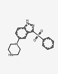 O=S(=O)(c1ccccc1)c1n[nH]c2ccc(N3CCNCC3)cc12